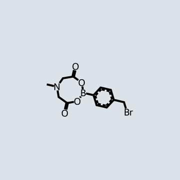 CN1CC(=O)OB(c2ccc(CBr)cc2)OC(=O)C1